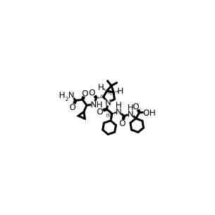 CC1(C)[C@@H]2[C@@H](C(=O)NC(C(=O)C(N)=O)C3CC3)N(C(=O)[C@@H](NC(=O)NC3(C(=O)O)CCCCC3)C3CCCCC3)C[C@@H]21